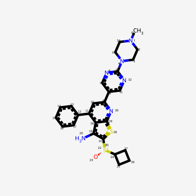 CN1CCN(c2ncc(-c3cc(-c4ccccc4)c4c(N)c([S@@+]([O-])C5CCC5)sc4n3)cn2)CC1